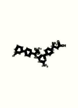 Nc1nc(OC(c2ccc(-c3cccc(F)c3)cc2)C(F)(F)F)cc(-c2ccc(C(N)CC(=O)O)cc2)n1